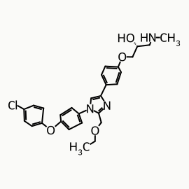 CCOCc1nc(-c2ccc(OC[C@H](O)CNC)cc2)cn1-c1ccc(Oc2ccc(Cl)cc2)cc1